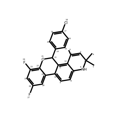 CC1=CC(C)(C)Nc2ccc3c(c21)C(c1ccc(Cl)cc1)Oc1c(F)cc(F)cc1-3